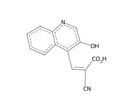 N#C/C(=C/c1c(O)cnc2ccccc12)C(=O)O